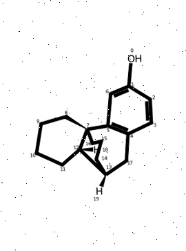 Oc1ccc2c(c1)[C@@]13CCCC[C@H]1[C@H](CCC3)C2